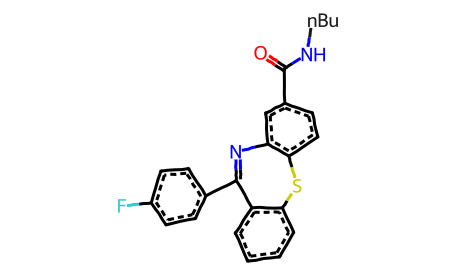 CCCCNC(=O)c1ccc2c(c1)N=C(c1ccc(F)cc1)c1ccccc1S2